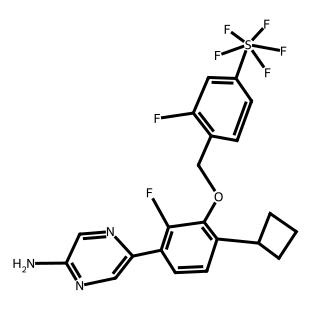 Nc1cnc(-c2ccc(C3CCC3)c(OCc3ccc(S(F)(F)(F)(F)F)cc3F)c2F)cn1